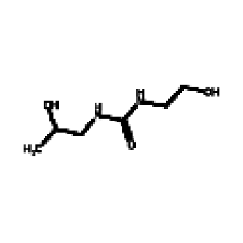 CC(O)CNC(=O)NCCO